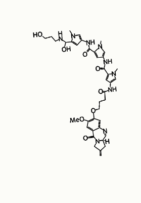 C=C1C[C@@H]2C=Nc3cc(OCCCC(=O)Nc4cc(C(=O)Nc5cc(C(=O)Nc6cc(C(O)NCCCO)n(C)c6)n(C)c5)n(C)c4)c(OC)cc3C(=O)N2C1